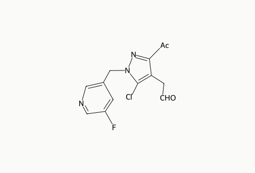 CC(=O)c1nn(Cc2cncc(F)c2)c(Cl)c1CC=O